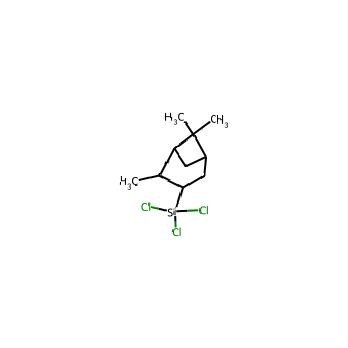 CC1C2CC(CC1[Si](Cl)(Cl)Cl)C2(C)C